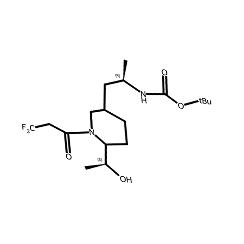 C[C@H](CC1CCC([C@H](C)O)N(C(=O)CC(F)(F)F)C1)NC(=O)OC(C)(C)C